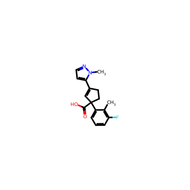 Cc1c(F)cccc1C1(C(=O)O)C=C(c2ccnn2C)CC1